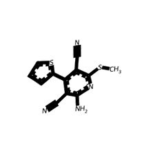 CSc1nc(N)c(C#N)c(-c2cccs2)c1C#N